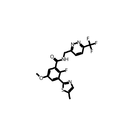 COc1cc(C(=O)NCc2ccc(C(F)(F)F)nn2)c(F)c(-c2ncc(C)s2)c1